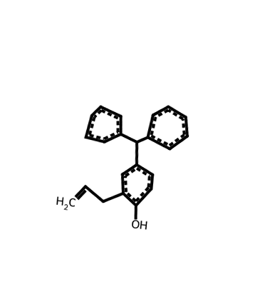 C=CCc1cc(C(c2ccccc2)c2ccccc2)ccc1O